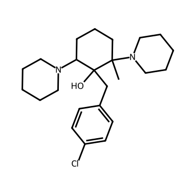 CC1(N2CCCCC2)CCCC(N2CCCCC2)C1(O)Cc1ccc(Cl)cc1